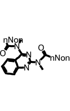 CCCCCCCCCC(=O)N(C)c1nc(N(C)C(=O)CCCCCCCCC)c2ccccc2n1